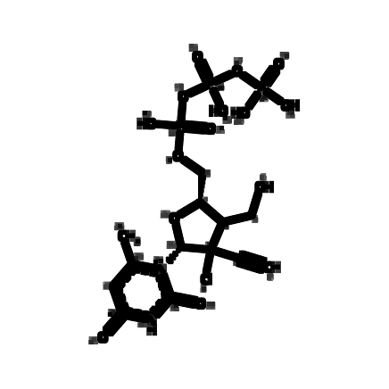 C#CC1(Cl)C(CO)[C@@H](COP(=O)(O)OP(=O)(O)OP(=O)(O)O)O[C@H]1n1c(C)cc(=O)[nH]c1=O